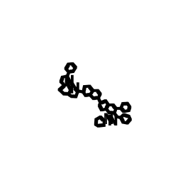 c1ccc(-c2ccc3ccc4ccc(-c5ccc6ccc(-c7ccc8c(c7)cc(-c7ccccc7)c7c(-c9ccccc9)nn(-c9ccccc9)c78)cc6c5)nc4c3n2)cc1